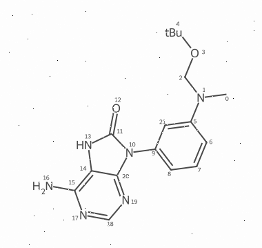 CN(COC(C)(C)C)c1cccc(-n2c(=O)[nH]c3c(N)ncnc32)c1